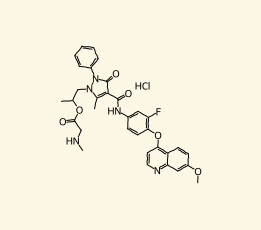 CNCC(=O)OC(C)Cn1c(C)c(C(=O)Nc2ccc(Oc3ccnc4cc(OC)ccc34)c(F)c2)c(=O)n1-c1ccccc1.Cl